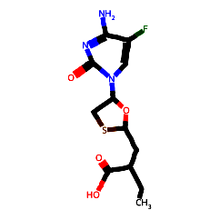 CCC(CC1OC(n2cc(F)c(N)nc2=O)CS1)C(=O)O